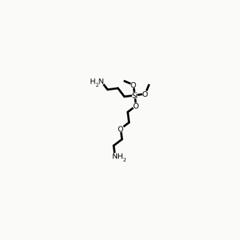 CO[Si](CCCN)(OC)OCCOCCN